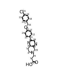 O=C(O)CCN1CCc2nc(-c3ccc(OCc4ccc(Cl)cc4)cc3)cnc2C1